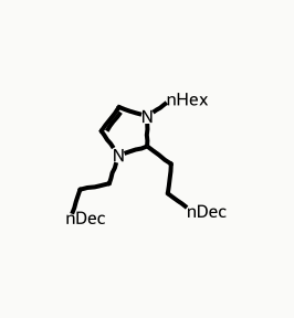 CCCCCCCCCCCCC1N(CCCCCC)C=CN1CCCCCCCCCCCC